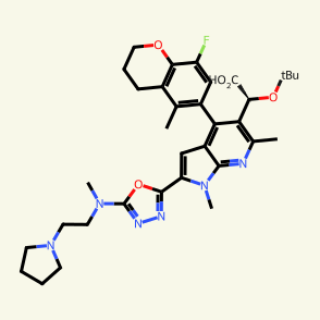 Cc1nc2c(cc(-c3nnc(N(C)CCN4CCCC4)o3)n2C)c(-c2cc(F)c3c(c2C)CCCO3)c1[C@H](OC(C)(C)C)C(=O)O